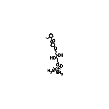 CCc1ccccc1-c1cc2ccc(OCCCC(O)C(O)CCCOC(=O)C(C)(CC(C)(C)N)C(C)(C)N)cc2o1